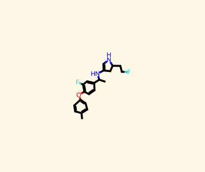 Cc1ccc(Oc2ccc(C(C)NC3=CNC(CCF)C3)cc2F)cc1